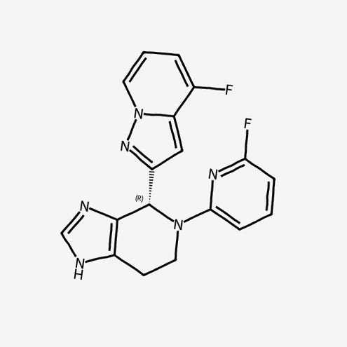 Fc1cccc(N2CCc3[nH]cnc3[C@@H]2c2cc3c(F)cccn3n2)n1